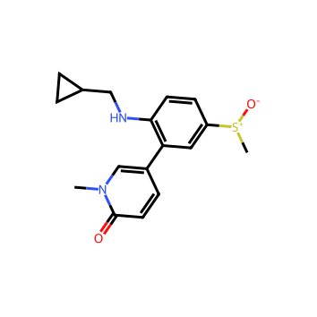 Cn1cc(-c2cc([S+](C)[O-])ccc2NCC2CC2)ccc1=O